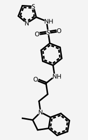 CC1Cc2ccccc2N1CCC(=O)Nc1ccc(S(=O)(=O)Nc2nccs2)cc1